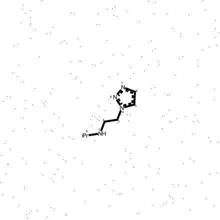 CC(C)NCCn1ccnn1